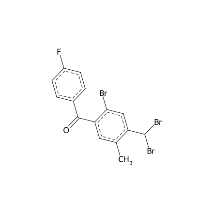 Cc1cc(C(=O)c2ccc(F)cc2)c(Br)cc1C(Br)Br